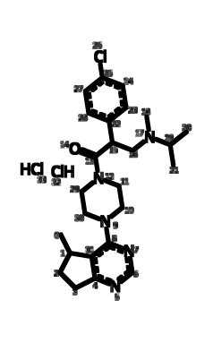 CC1CCc2ncnc(N3CCN(C(=O)C(CN(C)C(C)C)c4ccc(Cl)cc4)CC3)c21.Cl.Cl